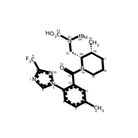 Cc1ccc(-n2cnc(C(F)(F)F)n2)c(C(=O)N2CCC[C@@H](C)[C@H]2CN(C(=O)O)C(C)(C)C)c1